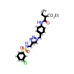 CCOC(=O)C(CC(C)C)C(=O)Nc1ccc(Cn2cc(CNS(=O)(=O)c3cccc(Cl)c3)nn2)cc1